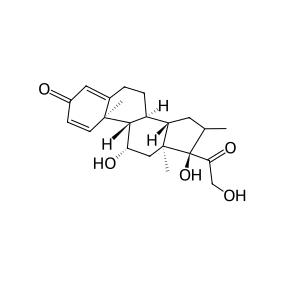 CC1C[C@H]2[C@@H]3CCC4=CC(=O)C=C[C@]4(C)[C@H]3[C@@H](O)C[C@]2(C)[C@@]1(O)C(=O)CO